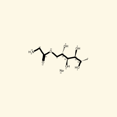 C[C@H](O)[C@H](O)[C@@H](O)[C@@H](O)COC(=O)CN.[Na]